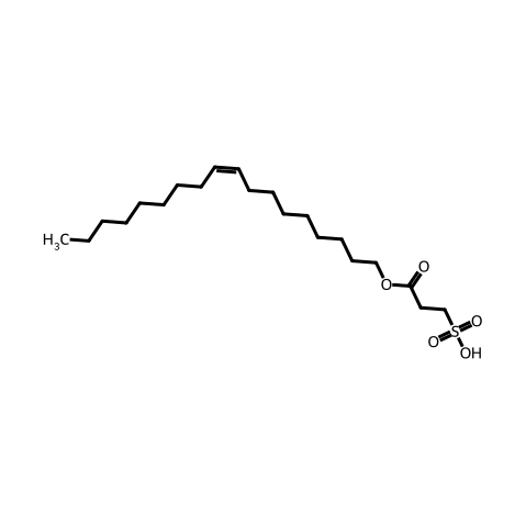 CCCCCCCC/C=C\CCCCCCCCOC(=O)CCS(=O)(=O)O